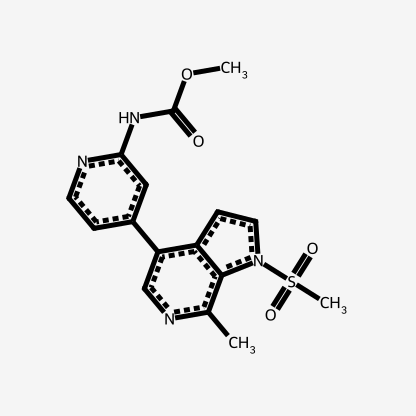 COC(=O)Nc1cc(-c2cnc(C)c3c2ccn3S(C)(=O)=O)ccn1